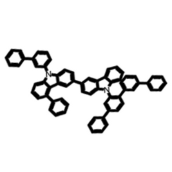 c1ccc(-c2cccc(-c3ccc(-c4ccccc4)cc3-n3c4ccccc4c4cc(-c5ccc6c(c5)c5c(-c7ccccc7)cccc5n6-c5cccc(-c6ccccc6)c5)ccc43)c2)cc1